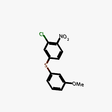 COc1cccc(Sc2ccc([N+](=O)[O-])c(Cl)c2)c1